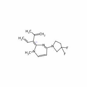 C=C/C(C(=C)C)=C1/N=C(N2CCC(F)(F)C2)C=CN1C